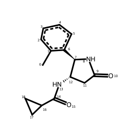 Cc1ccccc1[C@H]1NC(=O)C[C@@H]1NC(=O)C1CC1